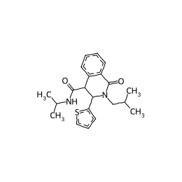 CC(C)CN1C(=O)c2ccccc2C(C(=O)NC(C)C)C1c1cccs1